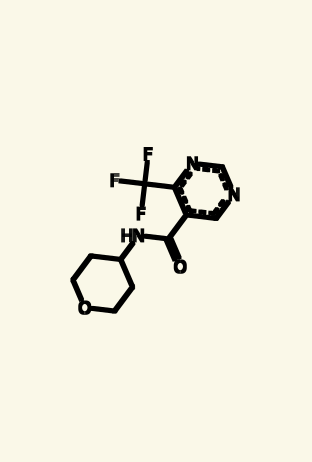 O=C(NC1CCOCC1)c1cncnc1C(F)(F)F